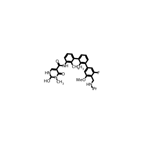 COc1cc(-c2cccc(-c3cccc(NC(=O)C4=CNC(O)N(C)C4=O)c3C)c2C)cc(F)c1CNC(C)C